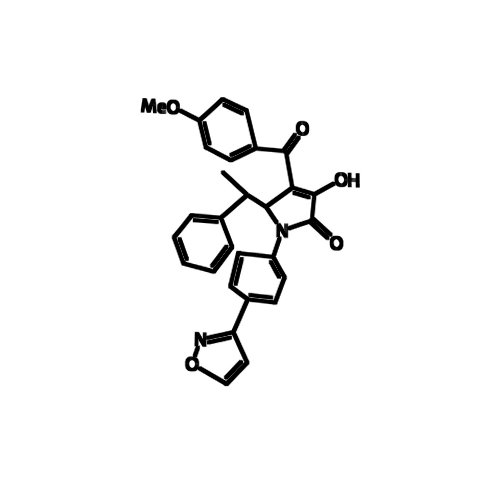 COc1ccc(C(=O)C2=C(O)C(=O)N(c3ccc(-c4ccon4)cc3)C2C(C)c2ccccc2)cc1